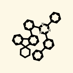 c1ccc(-c2cccc(-c3nc(-c4ccccc4)nc(-c4ccccc4-c4cccc5c4-c4ccccc4C54CCCCC4)n3)c2)cc1